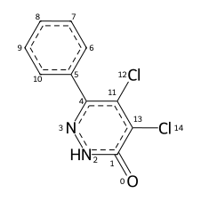 O=c1[nH]nc(-c2ccccc2)c(Cl)c1Cl